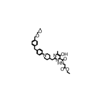 CCOC(=O)CNC(=O)c1nc(CC2CCN(c3ccc(Cc4ccc(COCOC)cc4)cc3)CC2)nc(C)c1O